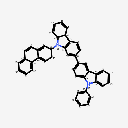 C1=CC2c3ccc(-c4ccc5c(c4)c4ccccc4n5-c4ccccc4)cc3N(C3C=c4ccc5ccccc5c4=CC3)C2C=C1